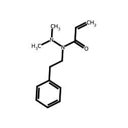 C=CC(=O)N(CCc1ccccc1)N(C)C